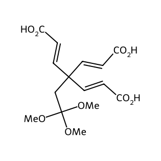 COC(CC(C=CC(=O)O)(C=CC(=O)O)C=CC(=O)O)(OC)OC